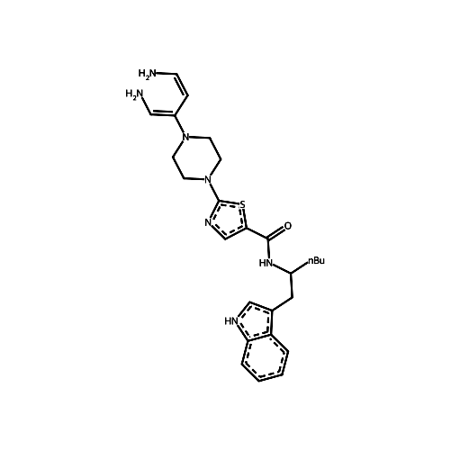 CCCCC(Cc1c[nH]c2ccccc12)NC(=O)c1cnc(N2CCN(C(/C=C\N)=C/N)CC2)s1